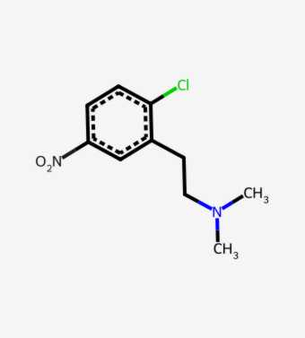 CN(C)CCc1cc([N+](=O)[O-])ccc1Cl